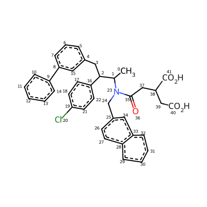 CC(C(Cc1cccc(-c2ccccc2)c1)c1ccc(Cl)cc1)N(Cc1ccc2ccccc2c1)C(=O)CC(CC(=O)O)C(=O)O